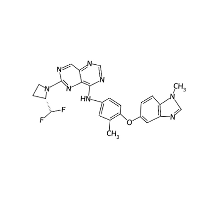 Cc1cc(Nc2ncnc3cnc(N4CC[C@H]4C(F)F)nc23)ccc1Oc1ccc2c(c1)ncn2C